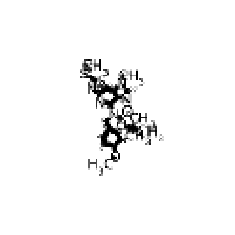 COc1ccc(CN(C(=O)OC(C)(C)C)c2nc3nc(SC)sc3c3c2ncn3C)cc1